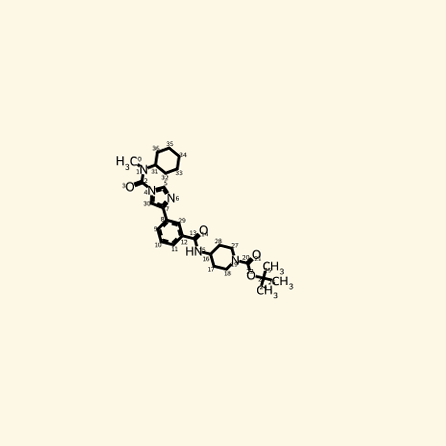 CN(C(=O)n1cnc(-c2cccc(C(=O)NC3CCN(C(=O)OC(C)(C)C)CC3)c2)c1)C1CCCCC1